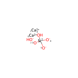 [Ca+2].[Ca+2].[O-][Si]([O-])([O-])O.[OH-]